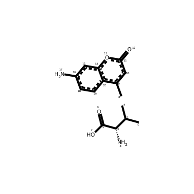 CC(C)[C@H](N)C(=O)O.Cc1cc(=O)oc2cc(N)ccc12